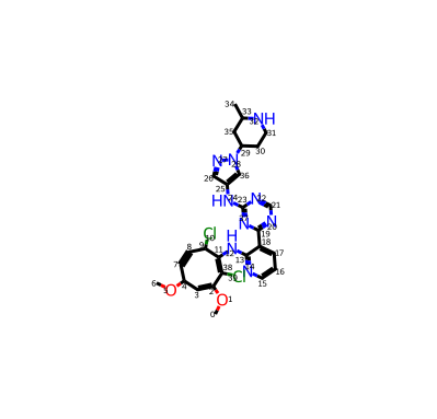 COC1=C/C(OC)C#CC(Cl)/C(Nc2ncccc2-c2ncnc(Nc3cnn(C4CCNC(C)C4)c3)n2)=C\1Cl